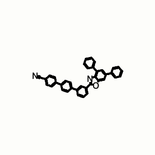 N#Cc1ccc(-c2ccc(-c3cccc(-c4nc5c(-c6ccccc6)cc(-c6ccccc6)cc5o4)c3)cc2)cc1